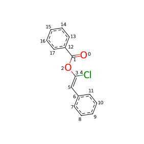 O=C(OC(Cl)=Cc1ccccc1)c1ccccc1